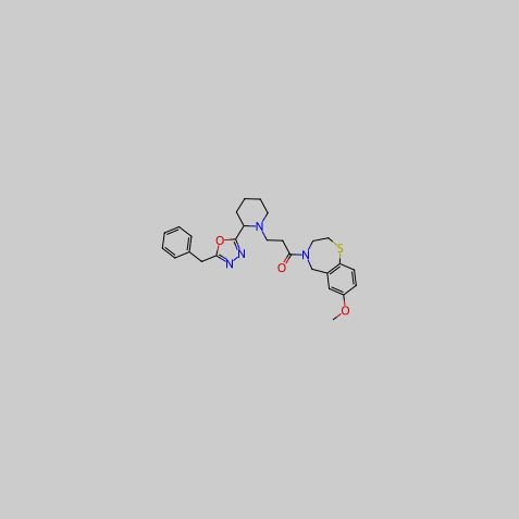 COc1ccc2c(c1)CN(C(=O)CCN1CCCCC1c1nnc(Cc3ccccc3)o1)CCS2